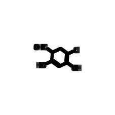 O=CC1CC(Cl)=C(O)C=C1O